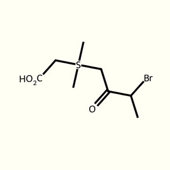 CC(Br)C(=O)CS(C)(C)CC(=O)O